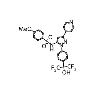 COc1ccc(S(=O)(=O)Nc2cc(-c3ccncc3)nn2-c2ccc(C(O)(C(F)(F)F)C(F)(F)F)cc2)cc1